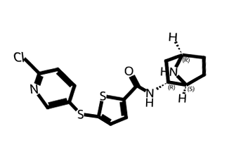 O=C(N[C@@H]1C[C@H]2CC[C@@H]1N2)c1ccc(Sc2ccc(Cl)nc2)s1